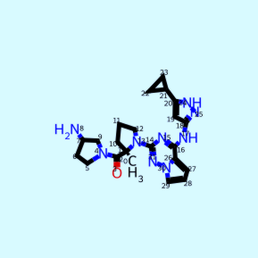 C[C@@]1(C(=O)N2CCC(N)C2)CCCN1c1nc(Nc2cc(C3CC3)[nH]n2)c2cccn2n1